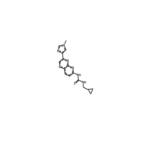 Cn1cnc(-c2cnc3ccc(NC(=S)NCC4CC4)nc3n2)c1